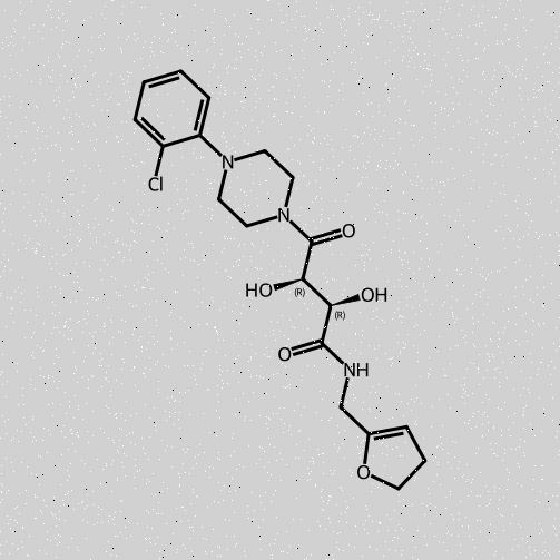 O=C(NCC1=CCCO1)[C@H](O)[C@@H](O)C(=O)N1CCN(c2ccccc2Cl)CC1